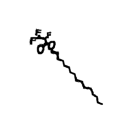 CCCCCCCCCCCCCCCCOC(=O)C(F)=C(F)F